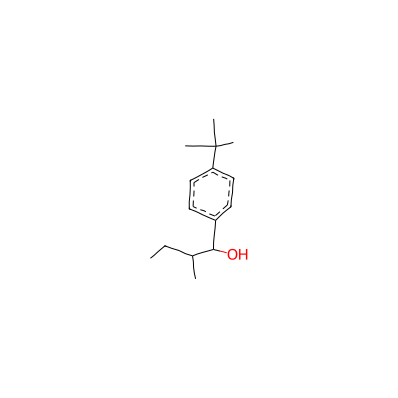 CCC(C)C(O)c1ccc(C(C)(C)C)cc1